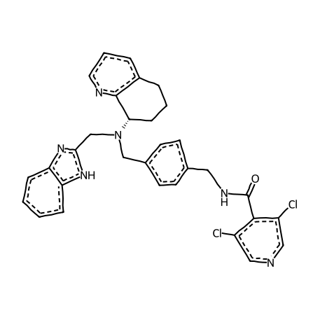 O=C(NCc1ccc(CN(Cc2nc3ccccc3[nH]2)[C@H]2CCCc3cccnc32)cc1)c1c(Cl)cncc1Cl